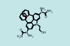 NC(=O)N(N)c1cc(-c2ccccc2)c2c3c(-c4ccccc4)cc(N(N)C(N)=O)cc3n(CCO)c2c1